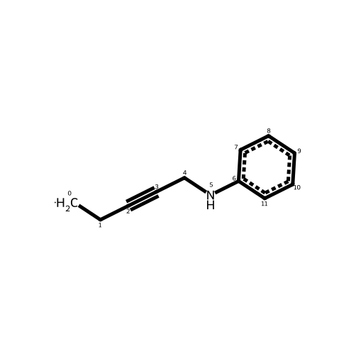 [CH2]CC#CCNc1ccccc1